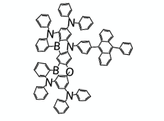 c1ccc(-c2c3ccccc3c(-c3ccc(N4c5cc6c(cc5B5c7ccccc7N(c7ccccc7)c7cc(N(c8ccccc8)c8ccccc8)cc4c75)B4c5ccccc5N(c5ccccc5)c5cc(N(c7ccccc7)c7ccccc7)cc(c54)O6)cc3)c3ccccc23)cc1